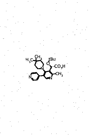 Cc1ncc(-c2ccncc2)c(N2CCC(C)(C)CC2)c1[C@H](OC(C)(C)C)C(=O)O